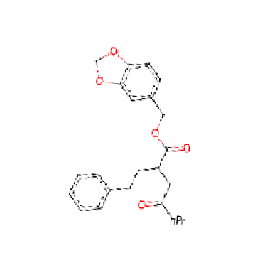 CCCC(=O)CC(CCc1ccccc1)C(=O)OCc1ccc2c(c1)OCO2